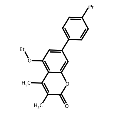 CCOc1cc(-c2ccc(C(C)C)cc2)cc2oc(=O)c(C)c(C)c12